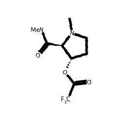 CNC(=O)[C@@H]1[C@@H](OC(=O)C(F)(F)F)CCN1C